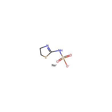 O=S(=O)([O-])NC1=NCCS1.[Na+]